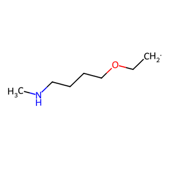 [CH2]COCCCCNC